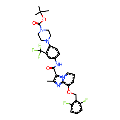 Cc1nc2c(OCc3c(F)cccc3F)cccn2c1C(=O)Nc1ccc(N2CCN(C(=O)OC(C)(C)C)CC2)c(C(F)(F)F)c1